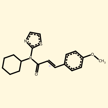 COc1ccc(/C=C/C(=O)N(c2nccs2)C2CCCCC2)cc1